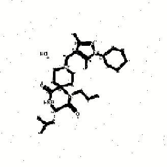 CCCN1C(=O)[C@H](CC(C)C)NC(=O)C12CCN(Cc1c(C)nn(C3CCCCC3)c1C)CC2.Cl